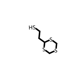 SCCC1SCSCS1